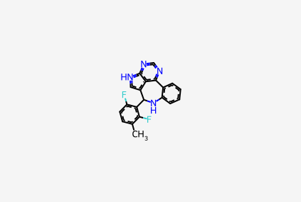 Cc1ccc(F)c(C2Nc3ccccc3-c3ncnc4[nH]cc2c34)c1F